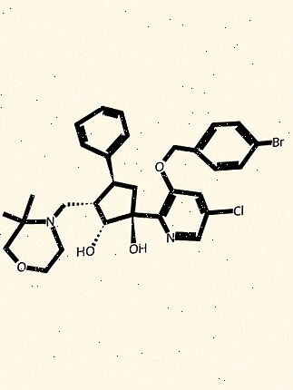 CC1(C)COCCN1C[C@@H]1[C@@H](c2ccccc2)C[C@](O)(c2ncc(Cl)cc2OCc2ccc(Br)cc2)[C@@H]1O